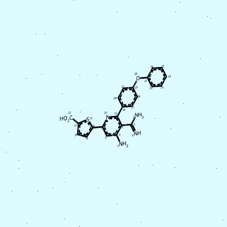 N=C(N)c1c(N)cc(-c2ccc(C(=O)O)s2)nc1-c1ccc(Oc2ccccc2)cc1